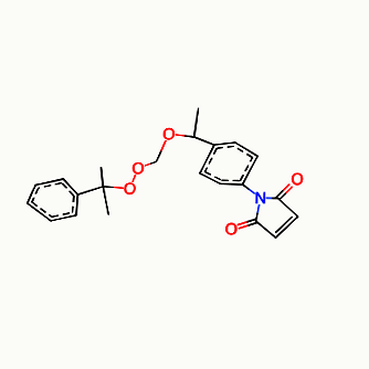 CC(OCOOC(C)(C)c1ccccc1)c1ccc(N2C(=O)C=CC2=O)cc1